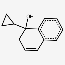 OC1(C2CC2)CC=Cc2ccccc21